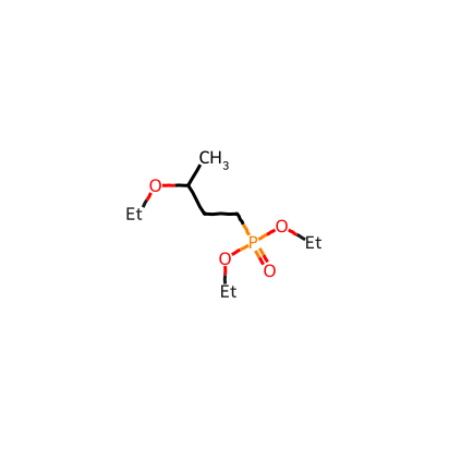 CCOC(C)CCP(=O)(OCC)OCC